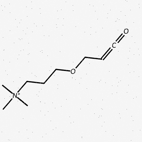 C[N+](C)(C)CCCOCC=C=O